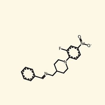 O=[N+]([O-])c1ccc(N2CCC(CN=Cc3ccccc3)CC2)c(F)c1